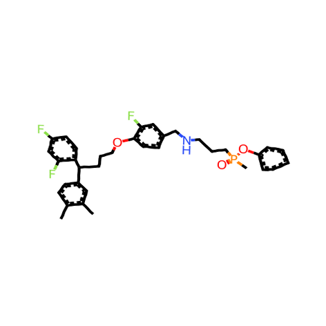 Cc1ccc(C(CCCOc2ccc(CNCCCP(C)(=O)Oc3ccccc3)cc2F)c2ccc(F)cc2F)cc1C